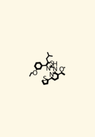 C=C(OC)c1ccc(-c2cccs2)nc1Nc1nc(-c2cccc(OCC)c2)c(CC(C)C)s1